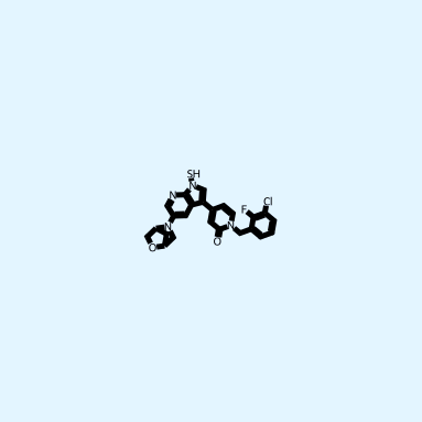 O=c1cc(-c2cn(S)c3ncc(N4CC5CC4CO5)cc23)ccn1Cc1cccc(Cl)c1F